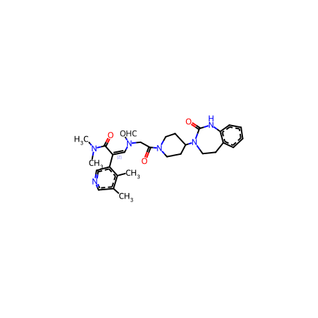 Cc1cncc(/C(=C/N(C=O)CC(=O)N2CCC(N3CCc4ccccc4NC3=O)CC2)C(=O)N(C)C)c1C